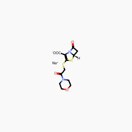 O=C([O-])C1=C(SCC(=O)N2CCOCC2)S[C@H]2CC(=O)N12.[Na+]